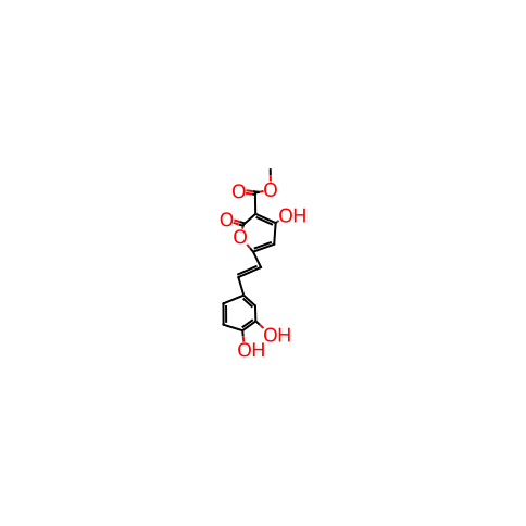 COC(=O)c1c(O)cc(/C=C/c2ccc(O)c(O)c2)oc1=O